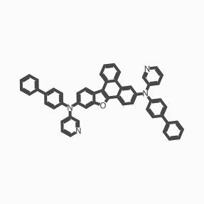 c1ccc(-c2ccc(N(c3cccnc3)c3ccc4c(c3)oc3c5ccc(N(c6ccc(-c7ccccc7)cc6)c6cccnc6)cc5c5ccccc5c43)cc2)cc1